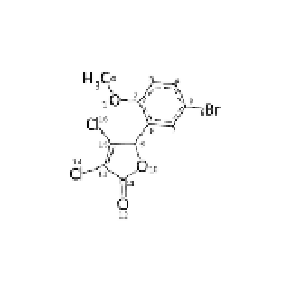 COc1ccc(Br)cc1C1OC(=O)C(Cl)=C1Cl